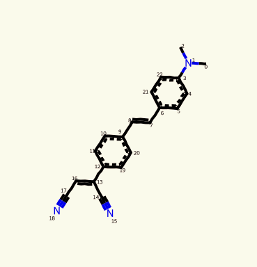 CN(C)c1ccc(C=Cc2ccc(C(C#N)=CC#N)cc2)cc1